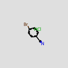 Cl.N#Cc1ccc(Br)cc1